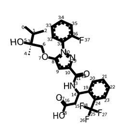 CC(C)[C@](C)(O)COc1cc(C(=O)NC(CC(=O)O)c2ccccc2C(F)(F)F)nn1-c1ccccc1F